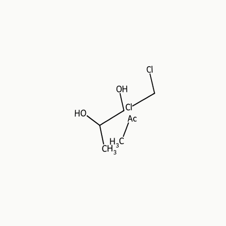 CC(C)=O.CC(O)CO.ClCCl